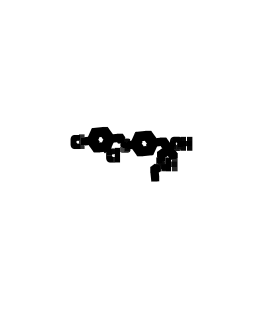 CCNCC(C)(O)Cc1ccc(SCc2ccc(Cl)cc2Cl)cc1